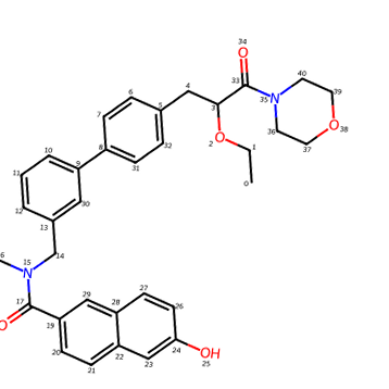 CCOC(Cc1ccc(-c2cccc(CN(C)C(=O)c3ccc4cc(O)ccc4c3)c2)cc1)C(=O)N1CCOCC1